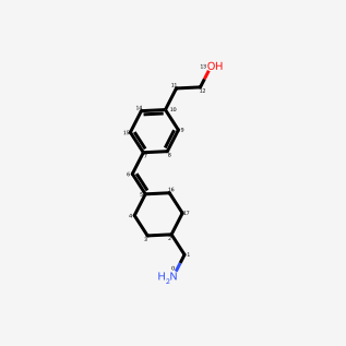 NCC1CCC(=Cc2ccc(CCO)cc2)CC1